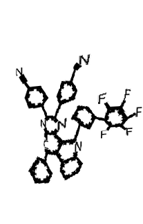 N#Cc1ccc(-c2nc3cc(-c4ccccc4)c4c5ccccc5nc(-c5cccc(-c6c(F)c(F)c(F)c(F)c6F)c5)c4c3nc2-c2ccc(C#N)cc2)cc1